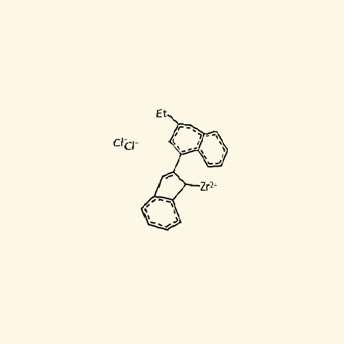 CCc1cc(C2=Cc3ccccc3[CH]2[Zr+2])c2ccccc2c1.[Cl-].[Cl-]